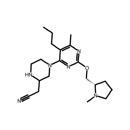 CCCc1c(C)nc(OC[C@@H]2CCCN2C)nc1N1CCNC(CC#N)C1